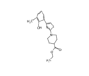 CCOC(=O)C1CCN(c2nc(-c3cccc(C)c3O)cs2)CC1